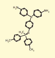 Cc1ccc(P(C)(=Nc2ccc(N(c3ccc(N)cc3)c3ccc(N)cc3)cc2)c2ccc(C)cc2)cc1